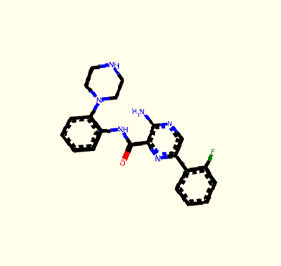 Nc1ncc(-c2ccccc2F)nc1C(=O)Nc1ccccc1N1CCNCC1